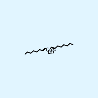 CCCCCCC=[CH][Cu-2][CH]=CCCCCCC.[Li+].[Li+]